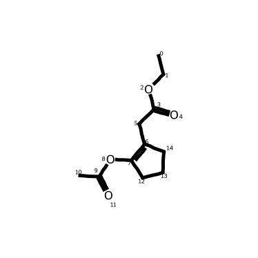 CCOC(=O)CC1=C(OC(C)=O)CCC1